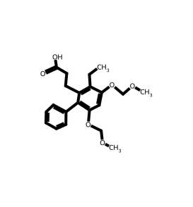 CCc1c(OCOC)cc(OCOC)c(-c2ccccc2)c1CCC(=O)O